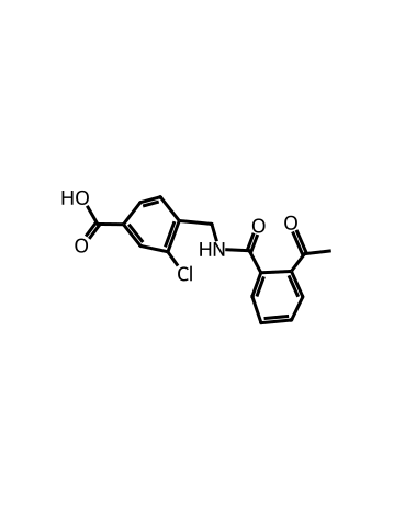 CC(=O)c1ccccc1C(=O)NCc1ccc(C(=O)O)cc1Cl